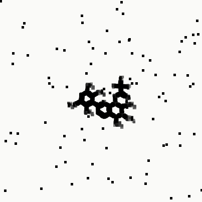 Cc1cc(C)c(C)c(-c2ccc3c(n2)N(OC(=O)C(F)(F)F)C(N)N(C)C3N)c1C